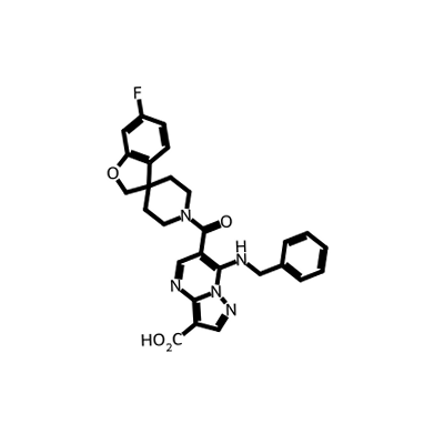 O=C(O)c1cnn2c(NCc3ccccc3)c(C(=O)N3CCC4(CC3)COc3cc(F)ccc34)cnc12